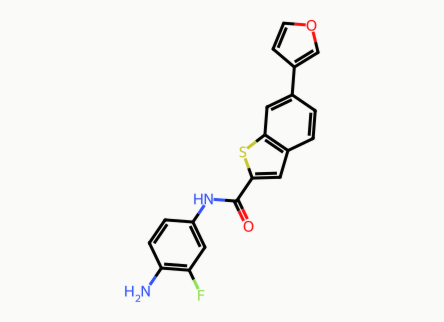 Nc1ccc(NC(=O)c2cc3ccc(-c4ccoc4)cc3s2)cc1F